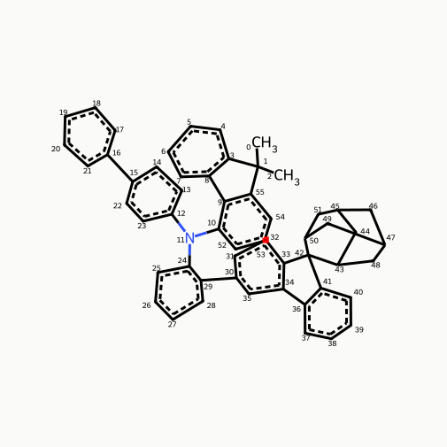 CC1(C)c2ccccc2-c2c(N(c3ccc(-c4ccccc4)cc3)c3ccccc3-c3ccc4c(c3)-c3ccccc3C43C4CC5CC(C4)CC3C5)cccc21